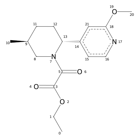 CCOC(=O)C(=O)N1C[C@@H](C)CC[C@@H]1c1ccnc(OC)c1